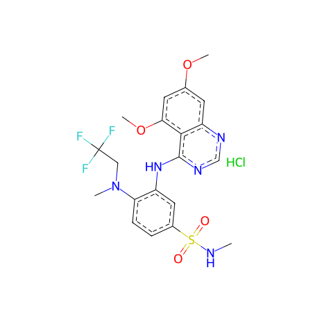 CNS(=O)(=O)c1ccc(N(C)CC(F)(F)F)c(Nc2ncnc3cc(OC)cc(OC)c23)c1.Cl